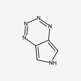 c1[nH]cc2nnnnc12